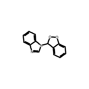 c1ccc2c(c1)OOC2n1cnc2ccccc21